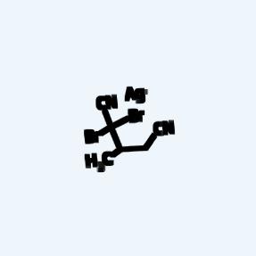 CC(CC#N)C(Br)(Br)C#N.[Ag]